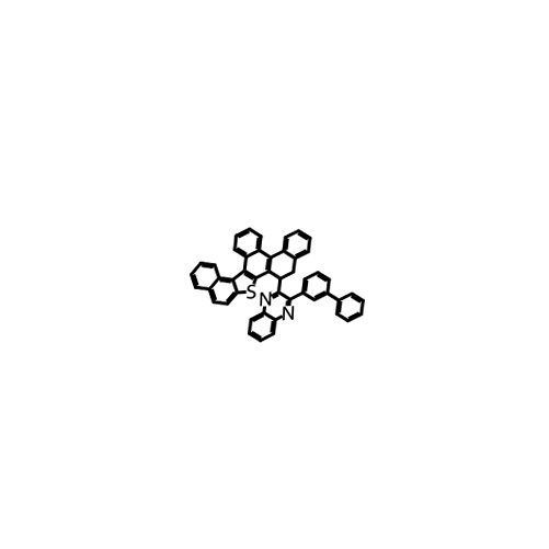 c1ccc(-c2cccc(-c3nc4ccccc4nc3C3Cc4ccccc4-c4c3c3sc5ccc6ccccc6c5c3c3ccccc43)c2)cc1